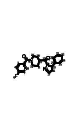 O=C(c1ccc(F)cn1)N1CCC(C(=O)N2N=CCC2c2ccccc2)CC1